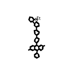 CCn1c2ccccc2c2cc(-c3ccc(-c4ccc(-c5c6ccc(C)cc6c(-c6ccccc6)c6ccc(C)cc56)cc4)cc3)ccc21